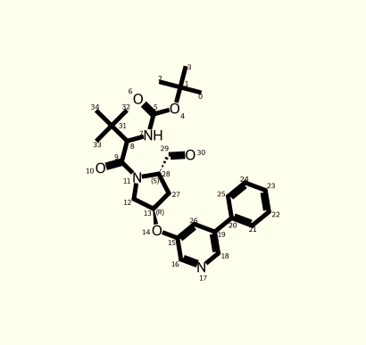 CC(C)(C)OC(=O)NC(C(=O)N1C[C@H](Oc2cncc(-c3ccccc3)c2)C[C@H]1C=O)C(C)(C)C